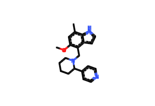 COc1cc(C)c2[nH]ccc2c1CN1CCCCC1c1ccncc1